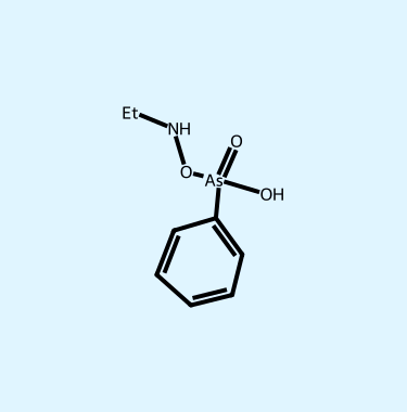 CCNO[As](=O)(O)c1ccccc1